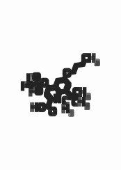 CCCCOc1cc(C(C)(C)C)c2nc(C(=O)O)cc(OS(=O)(=O)C(F)(F)F)c2c1